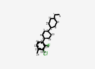 CCC1CCC(C2CCC(c3ccc(C)c(Cl)c3F)CC2)CC1